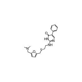 CN(C)Cc1ccc(CSCCNc2ncc(-c3ccccc3)c(=O)[nH]2)o1